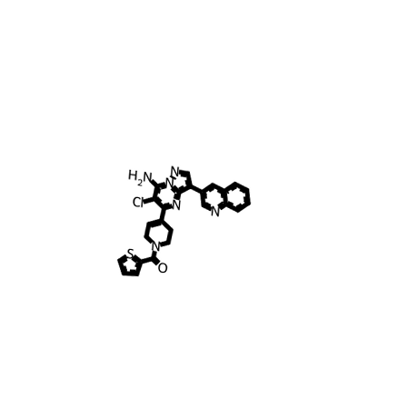 Nc1c(Cl)c(C2=CCN(C(=O)c3cccs3)CC2)nc2c(-c3cnc4ccccc4c3)cnn12